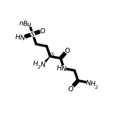 CCCCS(=N)(=O)CC[C@H](N)C(=O)NCC(N)=O